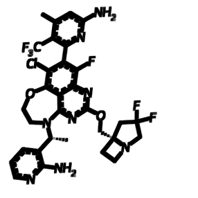 Cc1cc(N)nc(-c2c(Cl)c3c4c(nc(OC[C@@]56CCN5CC(F)(F)C6)nc4c2F)N([C@H](C)c2cccnc2N)CCO3)c1C(F)(F)F